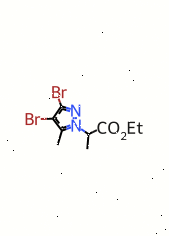 CCOC(=O)C(C)n1nc(Br)c(Br)c1C